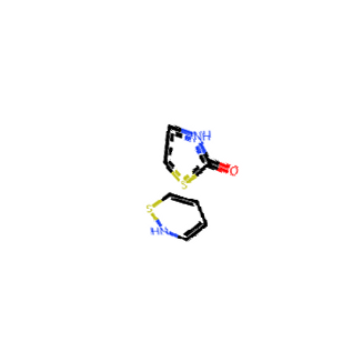 C1=CNSC=C1.O=c1[nH]ccs1